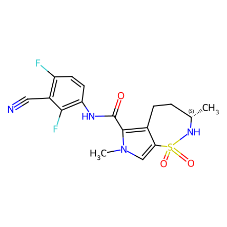 C[C@H]1CCc2c(cn(C)c2C(=O)Nc2ccc(F)c(C#N)c2F)S(=O)(=O)N1